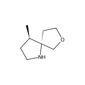 C[C@@H]1CCN[C@@]12CCOC2